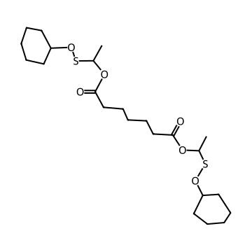 CC(OC(=O)CCCCCC(=O)OC(C)SOC1CCCCC1)SOC1CCCCC1